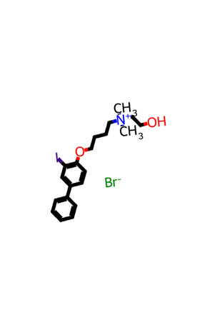 C[N+](C)(CCO)CCCCOc1ccc(-c2ccccc2)cc1I.[Br-]